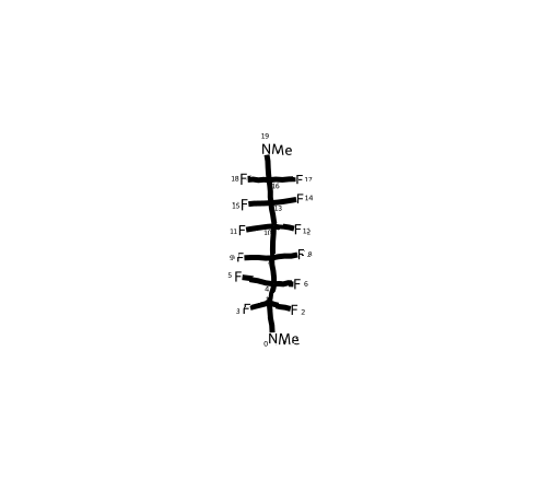 CNC(F)(F)C(F)(F)C(F)(F)C(F)(F)C(F)(F)C(F)(F)NC